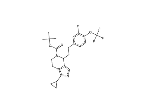 CC(C)(C)OC(=O)N1CCn2c(cnc2C2CC2)C1CCc1ccc(OC(F)(F)F)c(F)c1